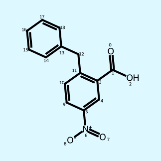 O=C(O)c1cc([N+](=O)[O-])ccc1Cc1ccccc1